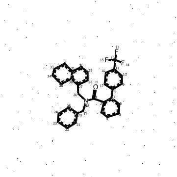 O=C(c1ccccc1-c1ccc(C(F)(F)F)cc1)N(Cc1ccccc1)Cc1cccc2ccccc12